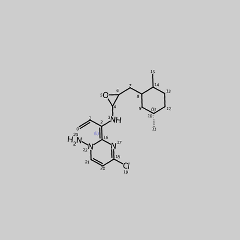 C=C/C(NC1OC1CC1C[C@@H](C)CCC1C)=C1/N=C(Cl)C=CN1N